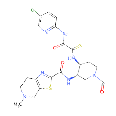 CN1CCc2nc(C(=O)N[C@@H]3CN(C=O)CC[C@@H]3NC(=S)C(=O)Nc3ccc(Cl)cn3)sc2C1